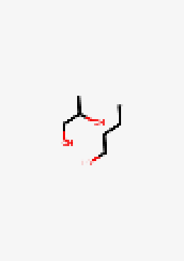 CC(O)CO.[CH2]CCCO